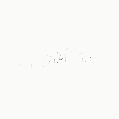 Cn1c(Nc2cccc(C3(F)CCN(CC(F)(F)F)CC3)c2)nc2cc(Oc3ccnc(N)c3)ccc21